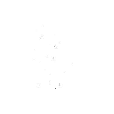 Cn1nnc(COc2ccc(Cl)c3c2[C@@H](CN2CCCC2=O)N(C(=O)C2CCCCN2)CC3)c1C(F)F